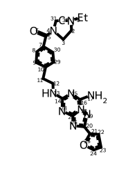 CCN1CCN(C(=O)c2ccc(CCNc3nc(N)n4nc(-c5ccco5)nc4n3)cc2)CC1